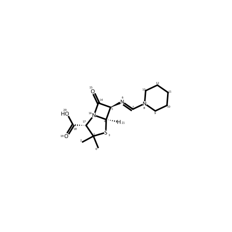 CC1(C)S[C@@H]2[C@H](N=CN3CCCCC3)C(=O)N2[C@H]1C(=O)O